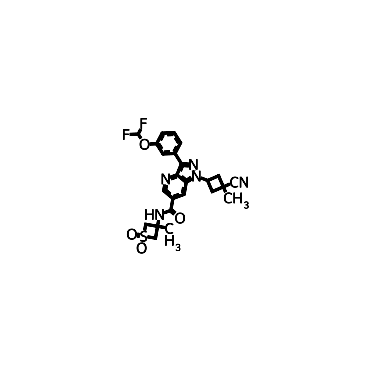 CC1(C#N)CC(n2nc(-c3cccc(OC(F)F)c3)c3ncc(C(=O)NC4(C)CS(=O)(=O)C4)cc32)C1